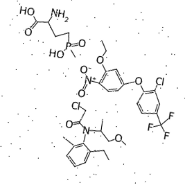 CCOc1cc(Oc2ccc(C(F)(F)F)cc2Cl)ccc1[N+](=O)[O-].CCc1cccc(C)c1N(C(=O)CCl)C(C)COC.CP(=O)(O)CCC(N)C(=O)O